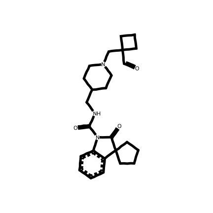 O=CC1(CN2CCC(CNC(=O)N3C(=O)C4(CCCC4)c4ccccc43)CC2)CCC1